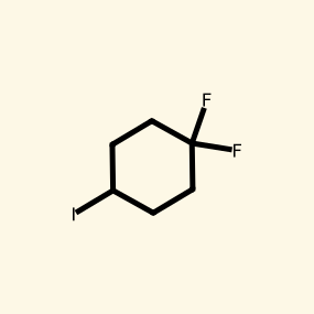 FC1(F)CCC(I)CC1